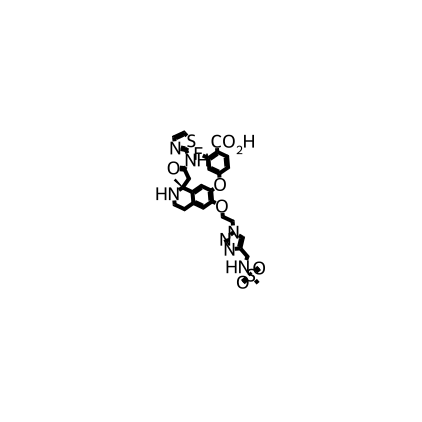 C[C@]1(CC(=O)Nc2nccs2)NCCc2cc(OCCn3cc(CNS(C)(=O)=O)nn3)c(Oc3ccc(C(=O)O)c(F)c3)cc21